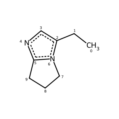 CCc1cnc2n1CCC2